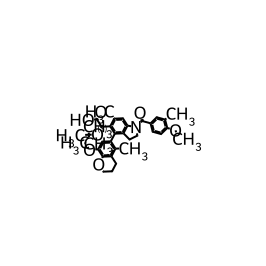 COc1ccc(C(=O)N2CCc3c2cc(C)c([C@H](OC(C)(C)C)C(=O)O)c3-c2cc(OC)c3c(c2C)CCCO3)cc1C